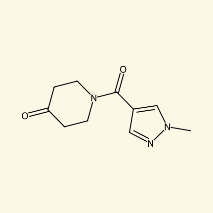 Cn1cc(C(=O)N2CCC(=O)CC2)cn1